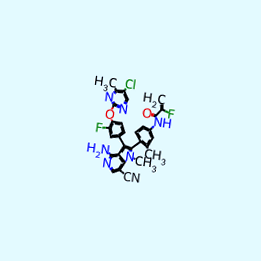 C=C(F)C(=O)Nc1ccc(-c2c(-c3ccc(Oc4ncc(Cl)c(C)n4)c(F)c3)c3c(N)ncc(C#N)c3n2C)c(C)c1